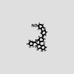 N#Cc1ccc2sc3ccc(-c4ccc5c(c4)nc(-c4ccccc4)c4ncc6ccccc6c45)cc3c2c1